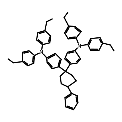 CCc1ccc(N(c2ccc(CC)cc2)c2ccc(C3(c4ccc(N(c5ccc(CC)cc5)c5ccc(CC)cc5)cc4)CCC(c4ccccc4)CC3)cc2)cc1